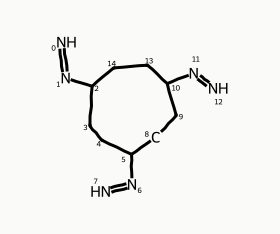 N=NC1CCC(N=N)CCC(N=N)CC1